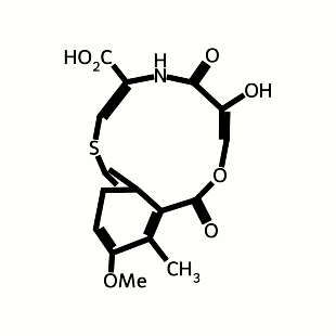 COC1=CC/C2=C\S/C=C(/C(=O)O)NC(=O)/C(O)=C\OC(=O)C2=C1C